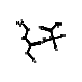 CCOC(=O)CF.O=C(O)C(F)(F)F